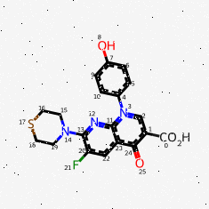 O=C(O)c1cn(-c2ccc(O)cc2)c2nc(N3CCSCC3)c(F)cc2c1=O